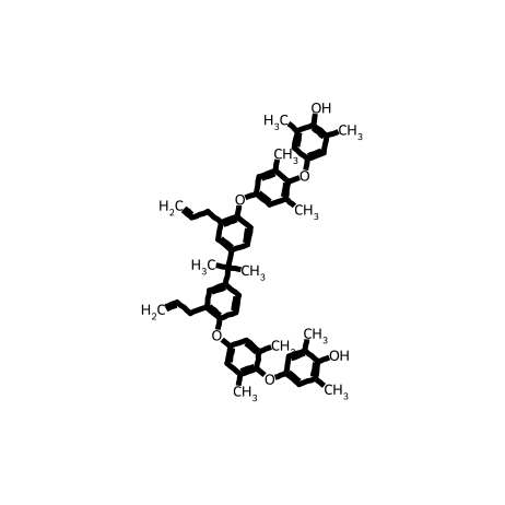 C=CCc1cc(C(C)(C)c2ccc(Oc3cc(C)c(Oc4cc(C)c(O)c(C)c4)c(C)c3)c(CC=C)c2)ccc1Oc1cc(C)c(Oc2cc(C)c(O)c(C)c2)c(C)c1